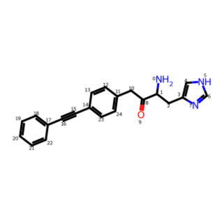 NC(Cc1c[nH]cn1)C(=O)Cc1ccc(C#Cc2ccccc2)cc1